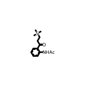 CC(=O)Nc1ccccc1C(=O)CC[Si](C)(C)C